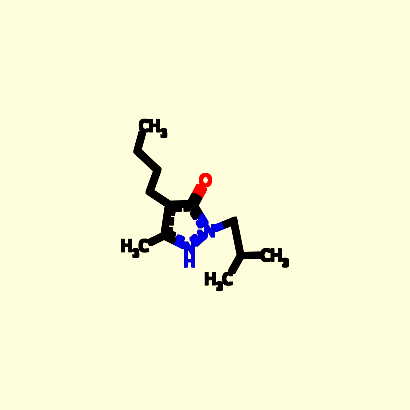 CCCCc1c(C)[nH]n(CC(C)C)c1=O